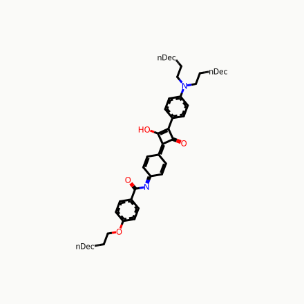 CCCCCCCCCCCCOc1ccc(C(=O)N=C2C=CC(=C3C(=O)C(c4ccc(N(CCCCCCCCCCCC)CCCCCCCCCCCC)cc4)=C3O)C=C2)cc1